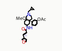 CO[C@]12CC[C@@H](NC(=O)/C=C/c3ccoc3)C[C@]1(c1cccc(OC(C)=O)c1)CCN(CC1CC1)C2